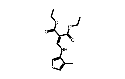 CCOC(=O)C(=CNc1cscc1C)C(=O)OCC